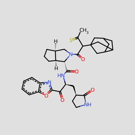 CC(=S)C(C(=O)N1C[C@@H]2CCC[C@@H]2[C@H]1C(=O)N[C@@H](C[C@@H]1CCNC1=O)C(=O)c1nc2ccccc2o1)C12CC3CC(C1)C(C3)C2